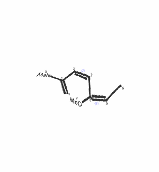 C=C(/C=C\C(=C/C)OC)NC